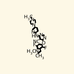 Cc1cc2c(F)c(Oc3ncnc(Nc4ccc(N5CCN(C)CC5)cn4)c3C#N)cc(F)c2n1C